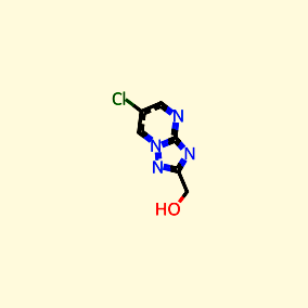 OCc1nc2ncc(Cl)cn2n1